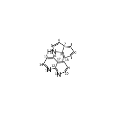 c1ccc2[nH]ccc2c1.c1cnc2ncccc2c1